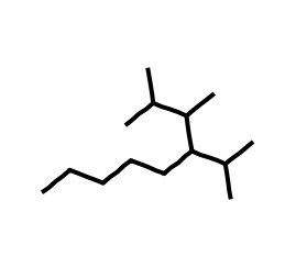 CCCCCC(C(C)C)C(C)C(C)C